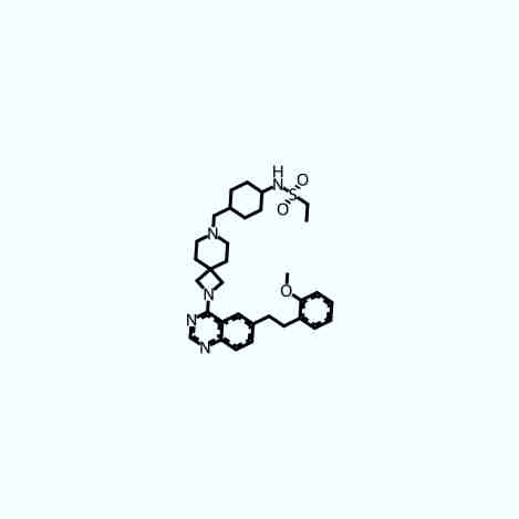 CCS(=O)(=O)NC1CCC(CN2CCC3(CC2)CN(c2ncnc4ccc(CCc5ccccc5OC)cc24)C3)CC1